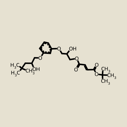 CC(C)(C)CC(O)COc1cccc(OCC(O)COC(=O)/C=C/C(=O)OC(C)(C)C)c1